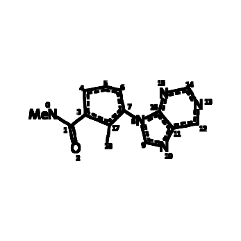 CNC(=O)c1cccc(-n2cnc3cncnc32)c1C